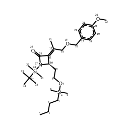 CCCC[Si](C)(C)OCC[C@@H]1/C(=C(/C)COCc2ccc(OC)cc2)C(=O)N1[Si](C)(C)C(C)(C)C